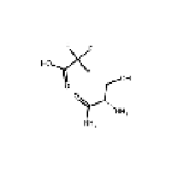 NC(=O)[C@@H](N)CO.O=C(O)C(F)(F)F